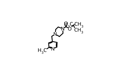 Cc1cc(CN2CCN(C(=O)OC(C)(C)C)CC2)ccn1